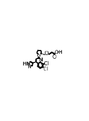 O=C(O)CCOC[C@@H]1CCCN1c1cc(-c2cn[nH]c2)c2ccc(Cl)c(Cl)c2n1